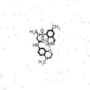 Cc1cc(C=N)c(N)c(S(=O)(=O)N(C)CC(=O)Nc2ccc3c(c2)OCCN3C)c1